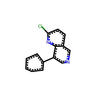 Clc1ccc2cncc(-c3ccccc3)c2n1